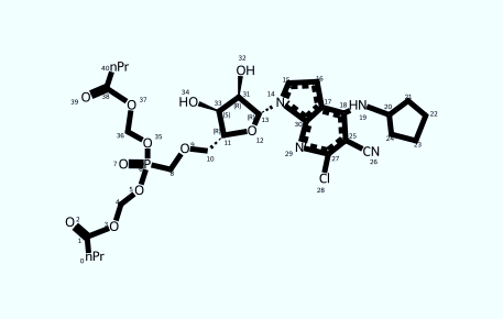 CCCC(=O)OCOP(=O)(COC[C@H]1O[C@@H](n2ccc3c(NC4CCCC4)c(C#N)c(Cl)nc32)[C@H](O)[C@@H]1O)OCOC(=O)CCC